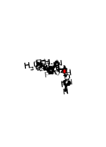 CC(C)(C)[Si](C)(C)OCc1cc(C2CC=NN2C(=O)C23CC(C2)[C@H](COc2cnc(C#N)cn2)C3)ccc1F